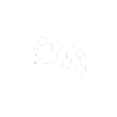 C[C@@H]1CCC[C@@H](n2cnc(-c3cc(Cl)ccc3-n3cc(Cl)nn3)cc2=O)c2cccc(n2)-c2c(cnn2C)NC1=O